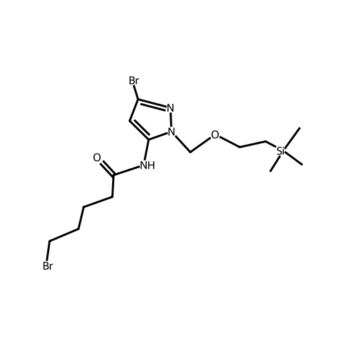 C[Si](C)(C)CCOCn1nc(Br)cc1NC(=O)CCCCBr